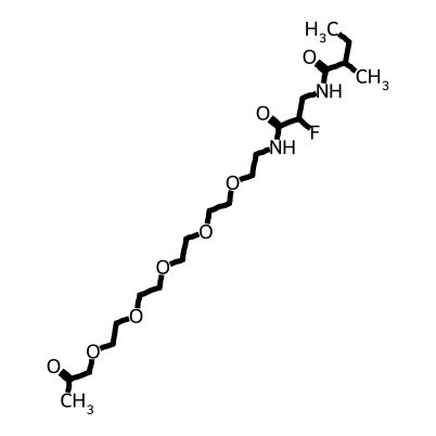 CCC(C)C(=O)NCC(F)C(=O)NCCOCCOCCOCCOCCOCC(C)=O